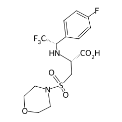 O=C(O)[C@H](CS(=O)(=O)N1CCOCC1)N[C@@H](c1ccc(F)cc1)C(F)(F)F